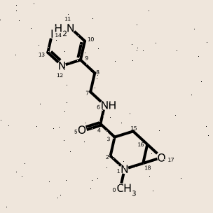 CN1CC(C(=O)NCCC(=C/N)/N=C\I)CC2OC21